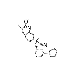 CCc1cc2ccc(C(C)(C#N)Cc3cccc(-c4ccccc4)c3)cc2nc1OC